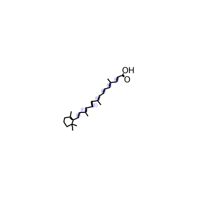 CC1=C(/C=C/C(C)=C/C=C/C(C)=C/C=C/C=C(C)/C=C/C(=O)O)C(C)(C)CCC1